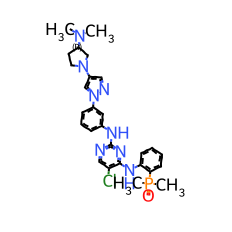 CN(C)[C@@H]1CCN(c2cnn(-c3cccc(Nc4ncc(Cl)c(Nc5ccccc5P(C)(C)=O)n4)c3)c2)C1